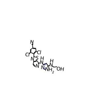 C=C(/C=C(\N=C/N)Nc1nccc2nc(-c3c(Cl)cc(C#N)cc3Cl)sc12)NCCO